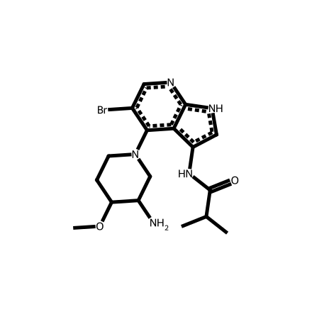 COC1CCN(c2c(Br)cnc3[nH]cc(NC(=O)C(C)C)c23)CC1N